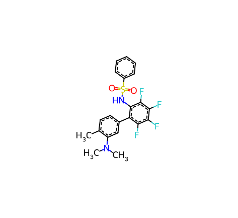 Cc1ccc(-c2c(F)c(F)c(F)c(F)c2NS(=O)(=O)c2ccccc2)cc1N(C)C